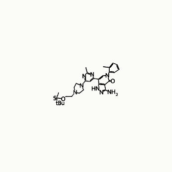 Cc1nc(-c2cn(-c3ccccc3C)c(=O)c3c(N)n[nH]c23)cc(N2CCN(CCO[Si](C)(C)C(C)(C)C)CC2)n1